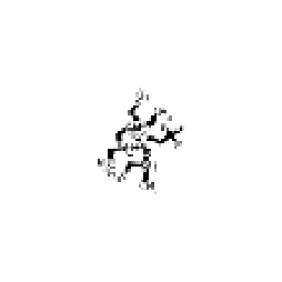 CC[SiH](CC)O[Si](CCC(F)(F)F)(O[SiH](CC)CC)O[SiH](CC)CC